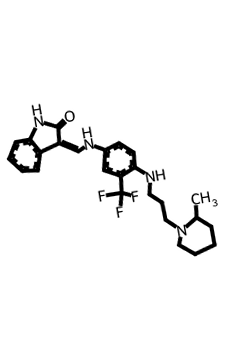 CC1CCCCN1CCCNc1ccc(NC=C2C(=O)Nc3ccccc32)cc1C(F)(F)F